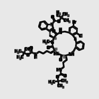 CN1C(=O)[C@H](CCCCNC(=O)OC(C)(C)C)NC(=O)[C@H](CCCNC(=O)OC(C)(C)C)NCc2ccccc2Sc2c(Cl)cc(Br)cc2CNC(=O)[C@@H]1Cc1cn(C(=O)OC(C)(C)C)c2ccccc12